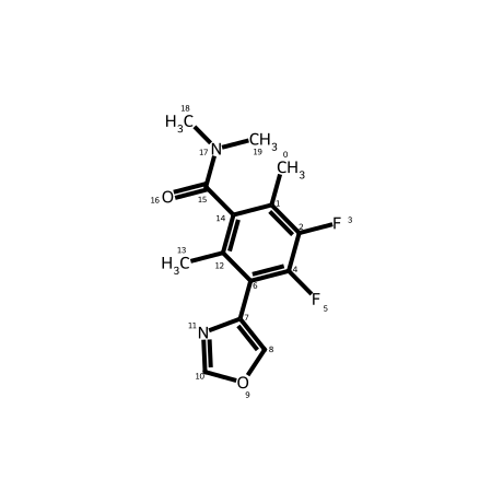 Cc1c(F)c(F)c(-c2cocn2)c(C)c1C(=O)N(C)C